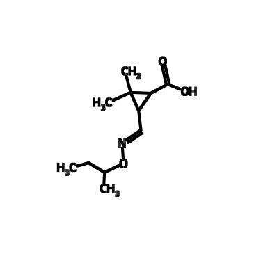 CCC(C)ON=CC1C(C(=O)O)C1(C)C